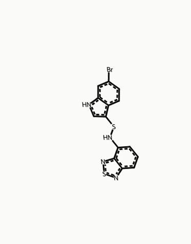 Brc1ccc2c(SNc3cccc4nsnc34)c[nH]c2c1